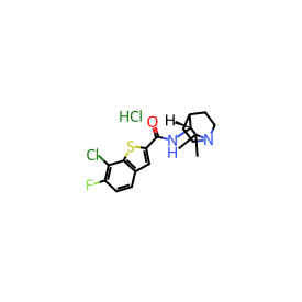 CC1(C)[C@H](NC(=O)c2cc3ccc(F)c(Cl)c3s2)C2CCN1CC2.Cl